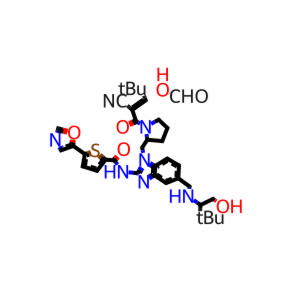 CC(C)(C)C=C(C#N)C(=O)N1CCCC1Cn1c(NC(=O)c2ccc(-c3cnco3)s2)nc2cc(CNC(CO)C(C)(C)C)ccc21.O=CO